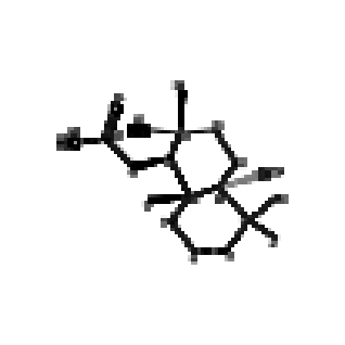 CC1(C)CCC[C@]2(C)[C@@H](CC(=O)O)[C@](C)(O)CC[C@@H]12